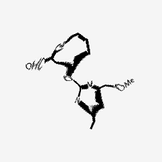 COc1cc(C)nc(Oc2cccnc2C=O)n1